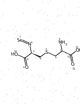 NC(CSC[C@H](N=[Se])C(=O)O)C(=O)O